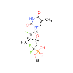 CCOP(=O)(O)C(F)(F)C[C@H]1O[C@@H](n2cc(C)c(=O)[nH]c2=O)[C@H](F)[C@@H]1C